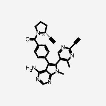 C#Cc1ncc(-c2c(-c3ccc(C(=O)N4CCC[C@@H]4C#C)cc3)c3c(N)ncnc3n2C)c(C)n1